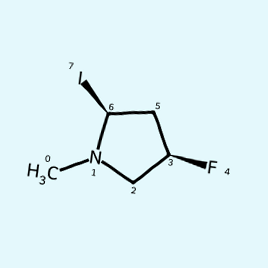 CN1C[C@H](F)C[C@@H]1I